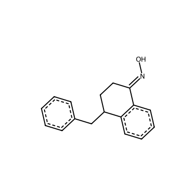 ON=C1CCC(Cc2ccccc2)c2ccccc21